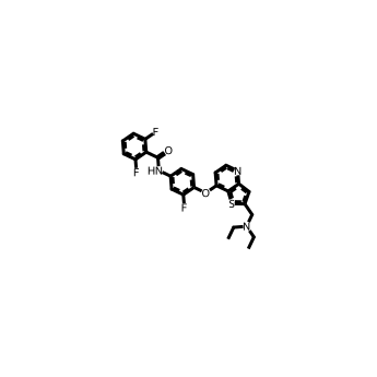 CCN(CC)Cc1cc2nccc(Oc3ccc(NC(=O)c4c(F)cccc4F)cc3F)c2s1